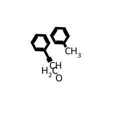 C#Cc1ccccc1.C=O.Cc1ccccc1